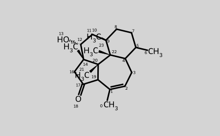 CC1=CCC2C(C)CCC3(C)C[C@@H](O)[C@@]4(C)CC(=O)C1[C@@]4(C)[C@@]23C